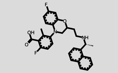 Cc1c(N2CC(CCN[C@H](C)c3cccc4ccccc34)Oc3cc(F)ccc32)ccc(F)c1C(=O)O